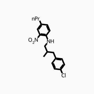 CCCc1ccc(NCC(C)Cc2ccc(Cl)cc2)c([N+](=O)[O-])c1